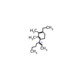 C/C=C(\CCCC)C1=C(C)C(C)=C(CC)CC1